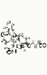 Cc1cc2cc(O)ccc2c(Oc2ccc(OCCCC(=O)O)c(C(F)(F)F)c2)c1-c1ccccc1